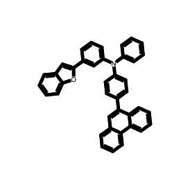 c1ccc(N(c2ccc(-c3cc4ccccc4c4ccccc34)cc2)c2cccc(-c3cc4ccccc4o3)c2)cc1